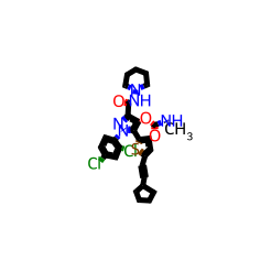 CNC(=O)Oc1c(C(=O)NN2CCCCC2)nn(-c2ccc(Cl)cc2Cl)c1-c1ccc(C#CC2CCCC2)s1